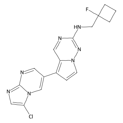 FC1(CNc2ncc3c(-c4cnc5ncc(Cl)n5c4)ccn3n2)CCC1